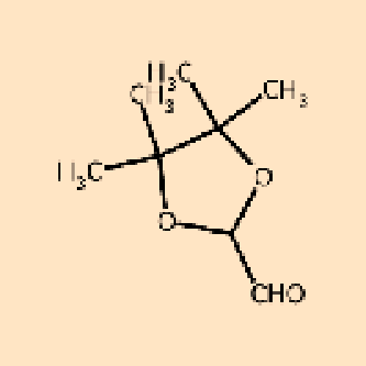 CC1(C)OC(C=O)OC1(C)C